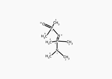 CN(C)P(C)(C)=NP(C)(C)=O